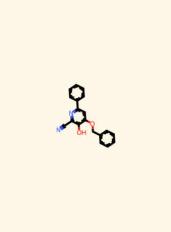 N#Cc1nc(-c2ccccc2)cc(OCc2ccccc2)c1O